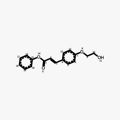 O=C(/C=C/c1ccc(OCCO)cc1)Oc1ccccc1